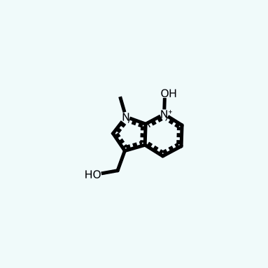 Cn1cc(CO)c2ccc[n+](O)c21